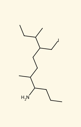 CCCC(N)C(C)CCC(CI)C(C)CC